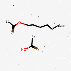 CCC(O)=S.CCCCCCCCCCCCCCOC(=S)CC